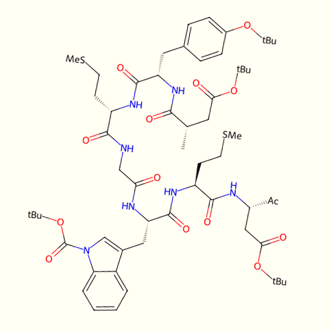 CSCC[C@H](NC(=O)[C@H](Cc1ccc(OC(C)(C)C)cc1)NC(=O)[C@@H](C)CC(=O)OC(C)(C)C)C(=O)NCC(=O)N[C@@H](Cc1cn(C(=O)OC(C)(C)C)c2ccccc12)C(=O)N[C@@H](CCSC)C(=O)N[C@@H](CC(=O)OC(C)(C)C)C(C)=O